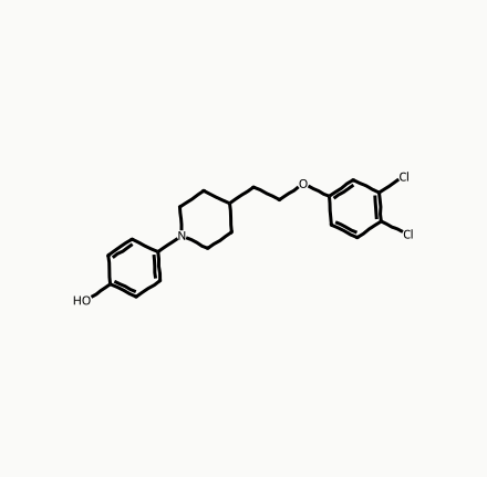 Oc1ccc(N2CCC(CCOc3ccc(Cl)c(Cl)c3)CC2)cc1